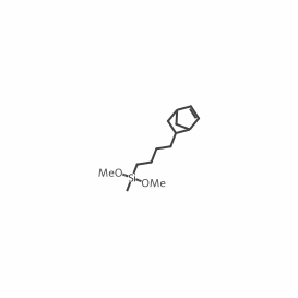 CO[Si](C)(CCCCC1CC2C=CC1C2)OC